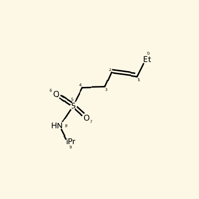 CC/C=C/CCS(=O)(=O)NC(C)C